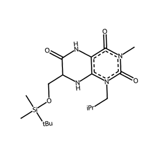 CC(C)Cn1c2c(c(=O)n(C)c1=O)NC(=O)C(CO[Si](C)(C)C(C)(C)C)N2